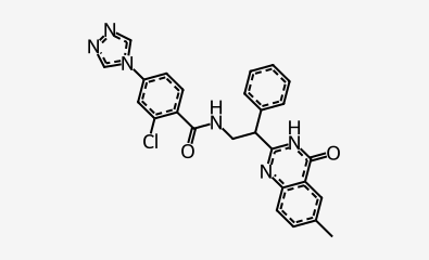 Cc1ccc2nc(C(CNC(=O)c3ccc(-n4cnnc4)cc3Cl)c3ccccc3)[nH]c(=O)c2c1